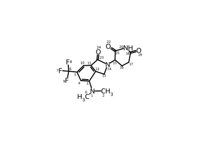 CN(C)c1cc(C(F)(F)F)cc2c1CN(C1CCC(=O)NC1=O)C2=O